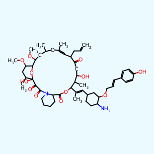 C=CCC1/C=C(\C)CC(C)CC(OC)C2OC(O)(C(=O)C(=O)N3CCCCC3C(=O)OC(C(C)=CC3CCC(N)C(OCC=Cc4ccc(O)cc4)C3)C(C)C(O)CC1=O)C(C)CC2OC